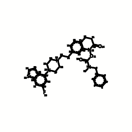 CN(Cc1ccccc1)C(=O)ON1C(=O)CCc2ccc(CCN3CCN(c4cc(F)cc5sccc45)CC3)cc21